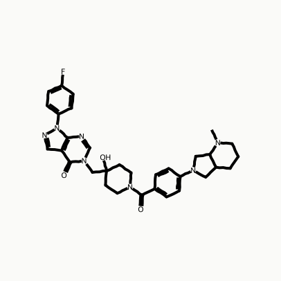 CN1CCCC2CN(c3ccc(C(=O)N4CCC(O)(Cn5cnc6c(cnn6-c6ccc(F)cc6)c5=O)CC4)cc3)CC21